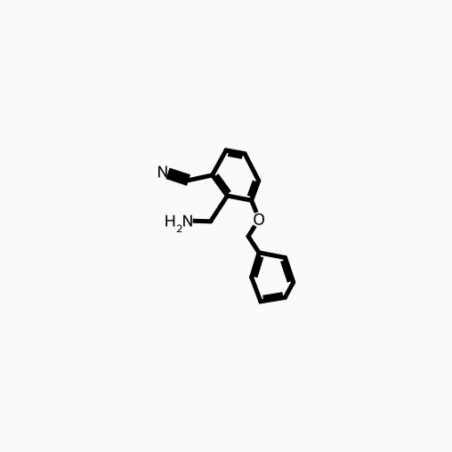 N#Cc1cccc(OCc2ccccc2)c1CN